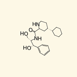 O=C(N[C@@H](CO)[C@@H](O)c1ccccc1)C1C[C@@H](C2CCCCC2)CCN1